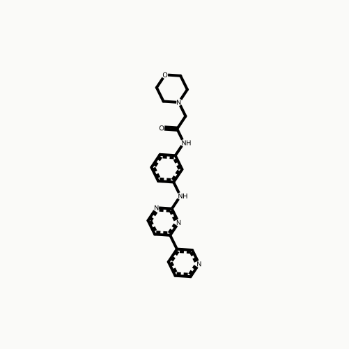 O=C(CN1CCOCC1)Nc1cccc(Nc2nccc(-c3cccnc3)n2)c1